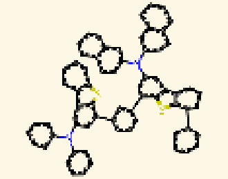 c1ccc(-c2cccc3c2sc2c(-c4cccc(-c5cc(N(c6ccccc6)c6ccccc6)cc6c5sc5ccccc56)c4)cc(N(c4ccc5ccccc5c4)c4ccc5ccccc5c4)cc23)cc1